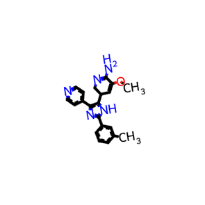 COC1=CC(c2[nH]c(-c3cccc(C)c3)nc2-c2ccncc2)CN=C1N